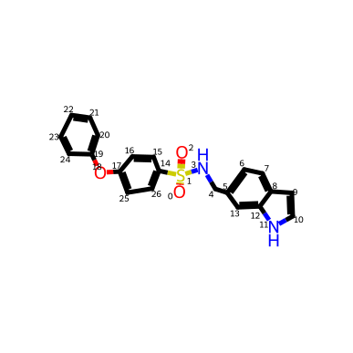 O=S(=O)(NCc1ccc2cc[nH]c2c1)c1ccc(Oc2ccccc2)cc1